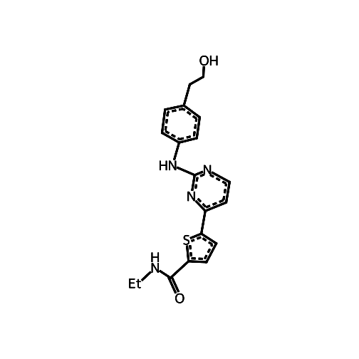 CCNC(=O)c1ccc(-c2ccnc(Nc3ccc(CCO)cc3)n2)s1